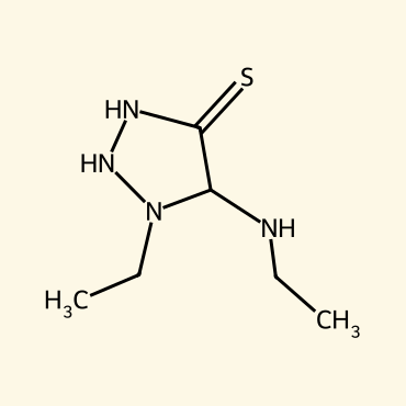 CCNC1C(=S)NNN1CC